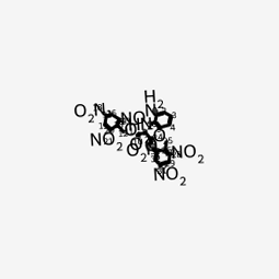 Nc1ccccc1NC(C(=O)OCc1c([N+](=O)[O-])cc([N+](=O)[O-])cc1[N+](=O)[O-])C(=O)OCc1c([N+](=O)[O-])cc([N+](=O)[O-])cc1[N+](=O)[O-]